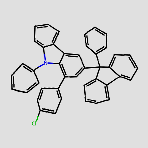 Clc1ccc(-c2cc(C3(c4ccccc4)c4ccccc4-c4ccccc43)cc3c4ccccc4n(-c4ccccc4)c23)cc1